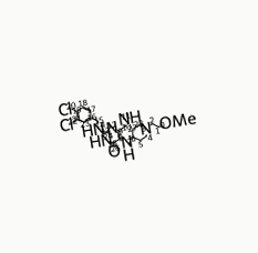 COCCN1CCC(Nc2c(C=N)nc(NCc3ccc(Cl)c(Cl)c3)[nH]c2=O)CC1